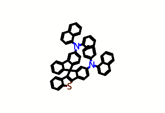 c1ccc(N(c2ccc3c(c2)-c2ccccc2C32c3cc(N(c4ccccc4)c4cccc5ccccc45)ccc3-c3sc4ccccc4c32)c2cccc3ccccc23)cc1